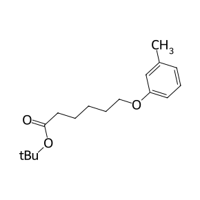 Cc1cccc(OCCCCCC(=O)OC(C)(C)C)c1